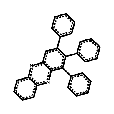 c1ccc(-c2cc3nc4ccccc4nc3c(-c3ccccc3)c2-c2ccccc2)cc1